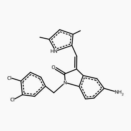 Cc1cc(C)c(/C=C2\C(=O)N(Cc3ccc(Cl)c(Cl)c3)c3ccc(N)cc32)[nH]1